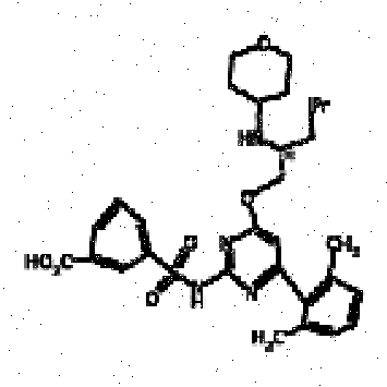 Cc1cccc(C)c1-c1cc(OC[C@@H](CC(C)C)NC2CCOCC2)nc(NS(=O)(=O)c2cccc(C(=O)O)c2)n1